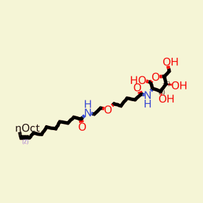 CCCCCCCC/C=C\CCCCCCCC(=O)NCCOCCCCC(=O)NC1C(O)OC(CO)[C@@H](O)[C@@H]1O